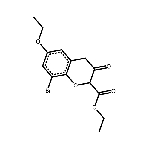 CCOC(=O)C1Oc2c(Br)cc(OCC)cc2CC1=O